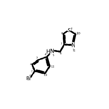 Brc1ccc(NCc2cs[c]n2)cc1